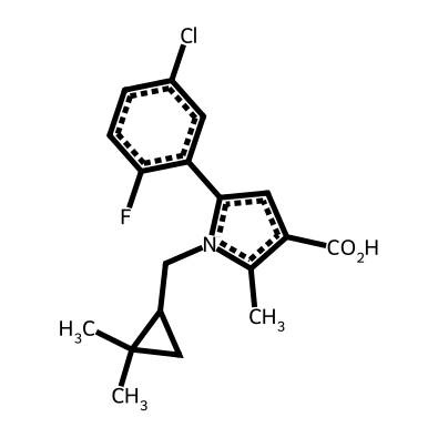 Cc1c(C(=O)O)cc(-c2cc(Cl)ccc2F)n1CC1CC1(C)C